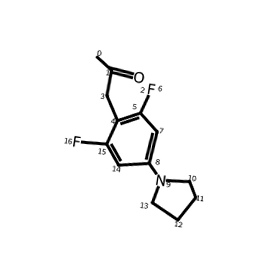 CC(=O)Cc1c(F)cc(N2CCCC2)cc1F